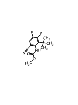 COC(=O)Nc1c(C#N)cc(F)c(F)c1C(C)(C)C